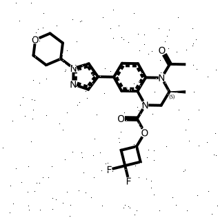 CC(=O)N1c2ccc(-c3cnn(C4CCOCC4)c3)cc2N(C(=O)OC2CC(F)(F)C2)C[C@@H]1C